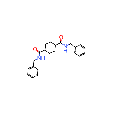 O=C(NCc1ccccc1)C1CCC(C(=O)NCc2ccccc2)CC1